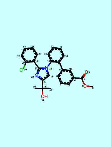 COC(=O)c1cccc(-c2ccccc2-n2cc(C(C)(C)O)nc2-c2ccccc2Cl)c1